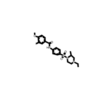 CCN1CCN(S(=O)(=O)c2ccc(NC(=O)c3ccc(OC)c(I)c3)cc2)C(C)C1